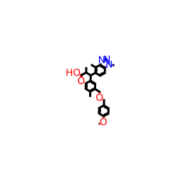 COc1ccc(COCc2cc(C(c3ccc4c(nnn4C)c3C)C(C)C(=O)O)ccc2C)cc1